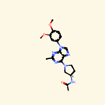 COc1ccc(-n2cnc3c(N4CC[C@@H](NC(C)=O)C4)nc(C)nc32)cc1OC